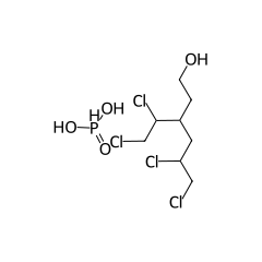 O=[PH](O)O.OCCC(CC(Cl)CCl)C(Cl)CCl